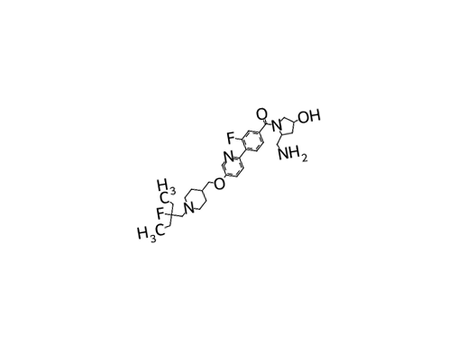 CCC(F)(CC)CN1CCC(COc2ccc(-c3ccc(C(=O)N4CC(O)CC4CN)cc3F)nc2)CC1